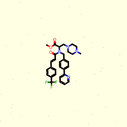 COC(=O)C(CN1CCN(C)CC1)N(Cc1ccc(-c2ccccn2)cc1)C(=O)C=Cc1ccc(C(F)(F)F)cc1